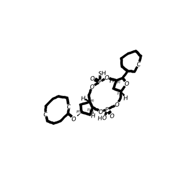 O=P1(O)OC[C@@H]2C[C@@H](OP(=O)(S)OC[C@H]3C[C@@H](OC4CCCCCCCCC4)C[C@@H]3O1)C(C1CCCCCCC1)O2